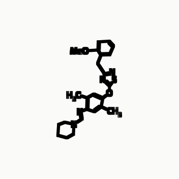 COc1ccccc1Cc1nsc(Oc2cc(C)c(N=CN3CCCCC3)cc2C)n1